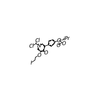 CC(C)S(=O)(=O)Oc1ccc(-c2cn(C(Cl)Cl)cc(OCCI)c2=O)cc1